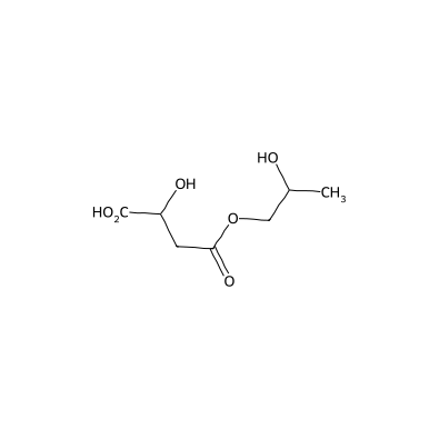 CC(O)COC(=O)CC(O)C(=O)O